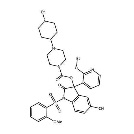 CCOc1ncccc1C1(OC(=O)N2CCN(C3CCN(CC)CC3)CC2)C(=O)N(S(=O)(=O)c2ccccc2OC)c2ccc(C#N)cc21